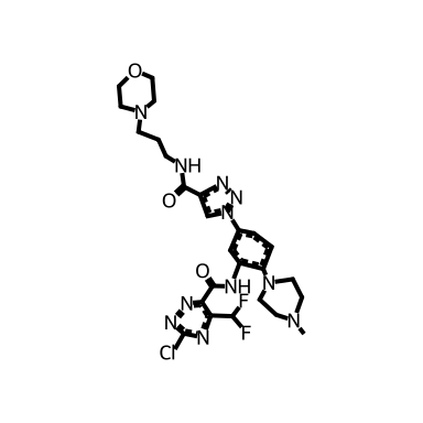 CN1CCN(c2ccc(-n3cc(C(=O)NCCCN4CCOCC4)nn3)cc2NC(=O)c2nnc(Cl)nc2C(F)F)CC1